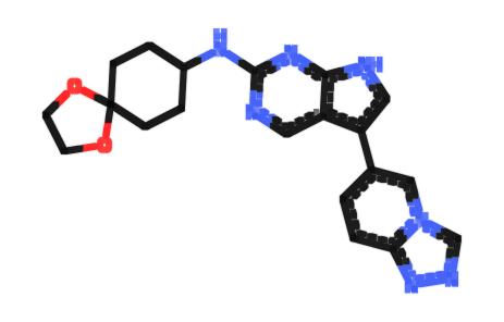 c1cc2nncn2cc1-c1c[nH]c2nc(NC3CCC4(CC3)OCCO4)ncc12